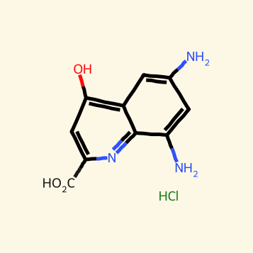 Cl.Nc1cc(N)c2nc(C(=O)O)cc(O)c2c1